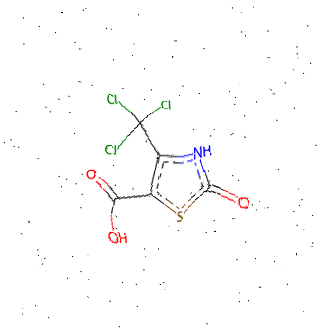 O=C(O)c1sc(=O)[nH]c1C(Cl)(Cl)Cl